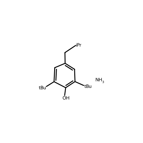 CC(C)Cc1cc(C(C)(C)C)c(O)c(C(C)(C)C)c1.N